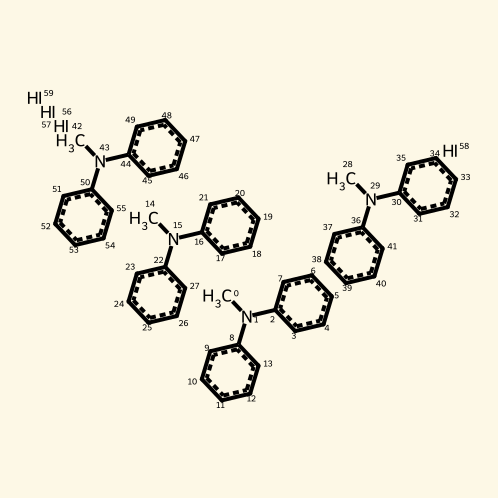 CN(c1ccccc1)c1ccccc1.CN(c1ccccc1)c1ccccc1.CN(c1ccccc1)c1ccccc1.CN(c1ccccc1)c1ccccc1.I.I.I.I